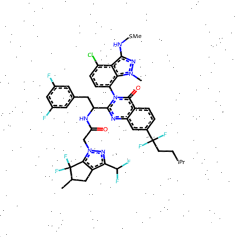 CSNc1nn(C)c2c(-n3c(C(Cc4cc(F)cc(F)c4)NC(=O)Cn4nc(C(F)F)c5c4C(F)(F)C(C)C5)nc4cc(C(F)(F)CCC(C)C)ccc4c3=O)ccc(Cl)c12